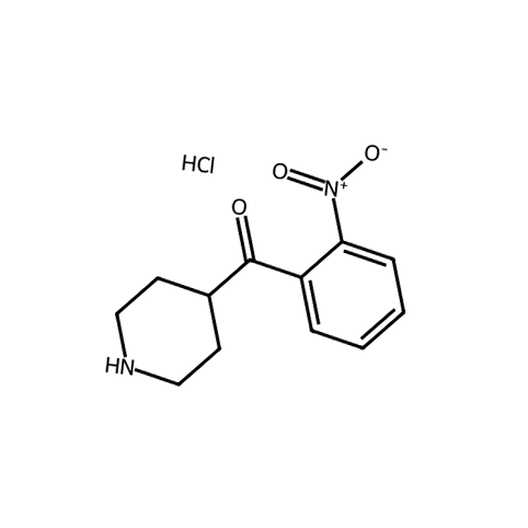 Cl.O=C(c1ccccc1[N+](=O)[O-])C1CCNCC1